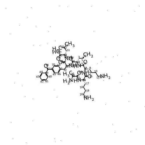 C=CC[C@H](NC(=O)[C@H](CCCCN)NC(=O)[C@H](CCCCN)NC(=O)[C@H](C)N)C(=O)N[C@@H](Cc1ccc(C(=O)c2ccccc2)cc1)C(=O)N[C@@H](CC(C)C)C(=O)O